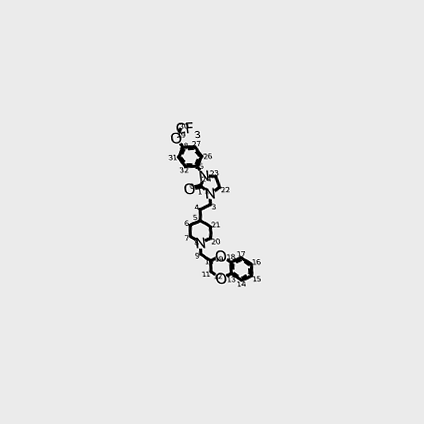 O=C1N(CCC2CCN(CC3COc4ccccc4O3)CC2)CCN1c1ccc(OC(F)(F)F)cc1